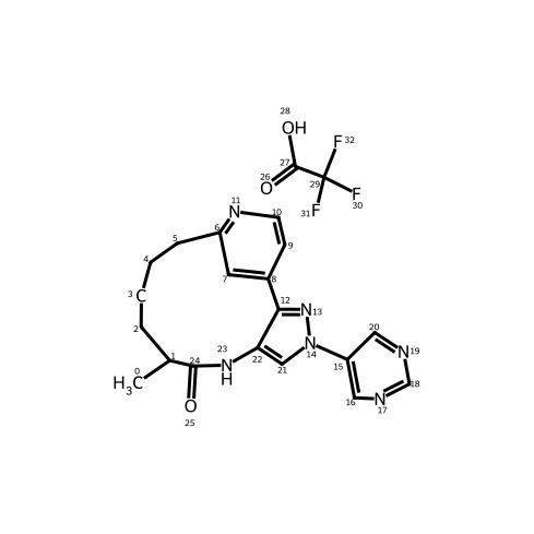 CC1CCCCc2cc(ccn2)-c2nn(-c3cncnc3)cc2NC1=O.O=C(O)C(F)(F)F